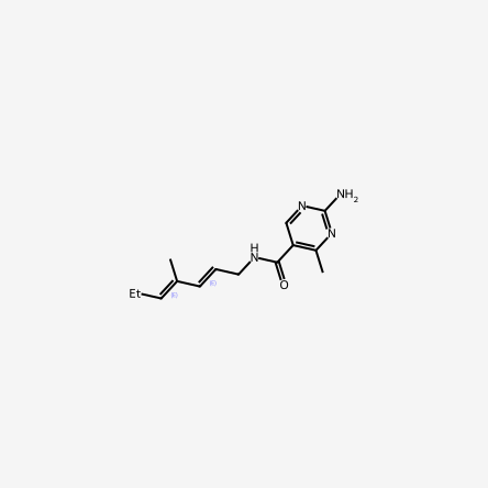 CC/C=C(C)/C=C/CNC(=O)c1cnc(N)nc1C